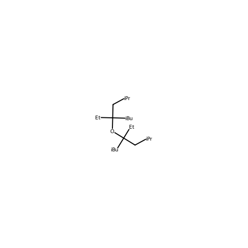 CCC(C)C(CC)(CC(C)C)OC(CC)(CC(C)C)C(C)CC